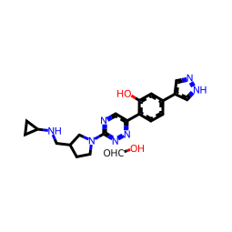 O=CO.Oc1cc(-c2cn[nH]c2)ccc1-c1cnc(N2CCC(CNC3CC3)C2)nn1